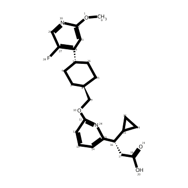 COc1cc([C@H]2CC[C@H](COc3cccc([C@@H](CC(=O)O)C4CC4)n3)CC2)c(F)cn1